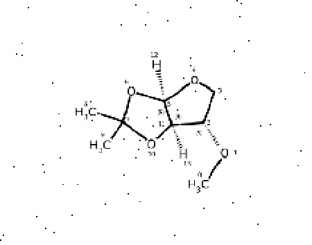 CO[C@H]1CO[C@@H]2OC(C)(C)O[C@@H]21